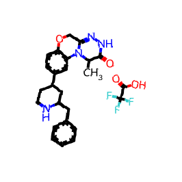 CC1C(=O)NN=C2COc3ccc(C4CCNC(Cc5ccccc5)C4)cc3N21.O=C(O)C(F)(F)F